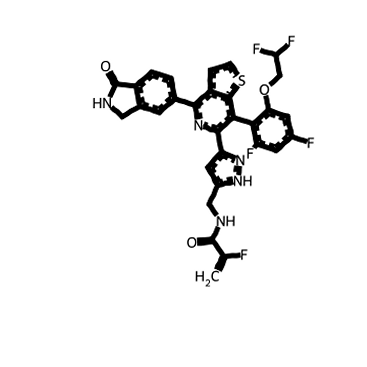 C=C(F)C(=O)NCc1cc(-c2nc(-c3ccc4c(c3)CNC4=O)c3ccsc3c2-c2c(F)cc(F)cc2OCC(F)F)n[nH]1